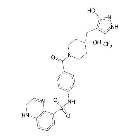 O=C(c1ccc(NS(=O)(=O)c2cccc3c2N=CCN3)cc1)N1CCC(O)(Cc2c(O)n[nH]c2C(F)(F)F)CC1